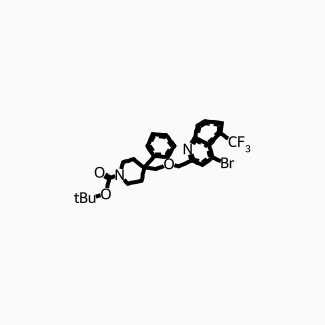 CC(C)(C)OC(=O)N1CCC(COCc2cc(Br)c3c(C(F)(F)F)cccc3n2)(c2ccccc2)CC1